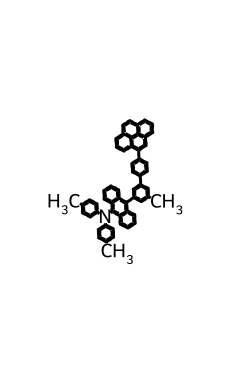 Cc1ccc(N(c2ccc(C)cc2)c2c3ccccc3c(-c3cc(C)cc(-c4ccc(-c5cc6cccc7ccc8cccc5c8c76)cc4)c3)c3ccccc23)cc1